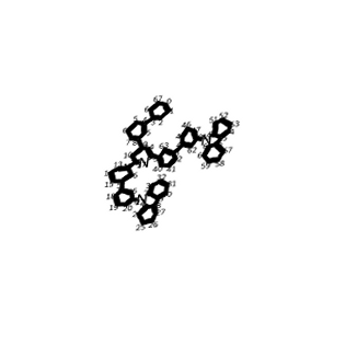 c1ccc(-c2cccc(-c3cc(-c4cccc(-c5cccc(-n6c7ccccc7c7ccccc76)c5)c4)nc(-c4cccc(-c5cccc(-n6c7ccccc7c7ccccc76)c5)c4)c3)c2)cc1